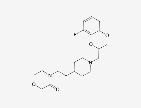 O=C1COCCN1CCC1CCN(CC2COc3cccc(F)c3O2)CC1